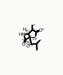 CC(C)[C@H](O)[C@@]12SC(=O)C(C)[C@@H]1NC2=O